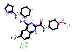 CO[C@H]1CC[C@H](NC(=O)c2nc(N[C@H]3CCCC[C@H]3NC3=NCCC3)c3cc(C)ccc3n2)CC1.Cl.Cl